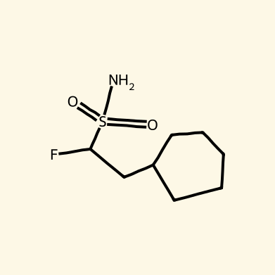 NS(=O)(=O)C(F)CC1CCCCC1